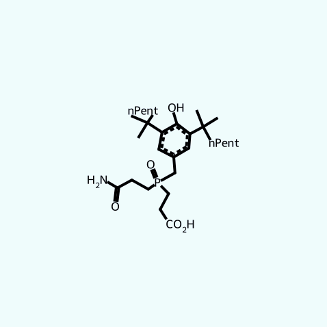 CCCCCC(C)(C)c1cc(CP(=O)(CCC(N)=O)CCC(=O)O)cc(C(C)(C)CCCCC)c1O